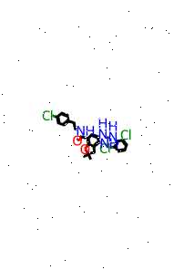 CC1(C)Cc2c3c(cc(C(=O)NCCc4ccc(Cl)cc4)c2O1)NC(Nc1c(Cl)cccc1Cl)N3